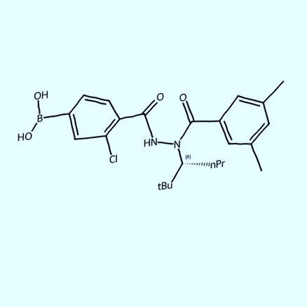 CCC[C@@H](N(NC(=O)c1ccc(B(O)O)cc1Cl)C(=O)c1cc(C)cc(C)c1)C(C)(C)C